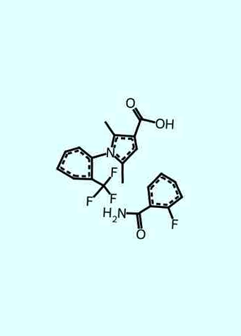 Cc1cc(C(=O)O)c(C)n1-c1ccccc1C(F)(F)F.NC(=O)c1ccccc1F